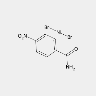 NC(=O)c1ccc([N+](=O)[O-])cc1.[Br][Ni][Br]